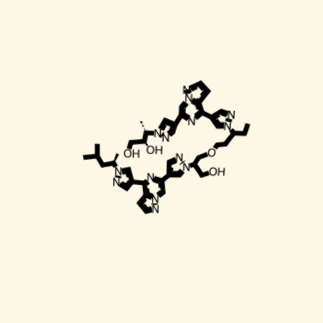 CCC(CCOCC(CO)n1cc(-c2cn3nccc3c(-c3cnn([C@H](C)CC(C)C)c3)n2)cn1)n1cc(-c2nc(-c3cnn([C@@H](C)[C@H](O)CO)c3)cn3nccc23)cn1